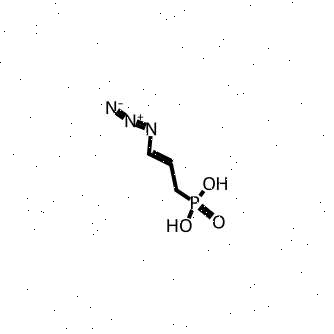 [N-]=[N+]=NC=CCP(=O)(O)O